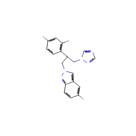 C[C@@H](n1cc2cc(F)ccc2n1)[C@](O)(Cn1cncn1)c1ccc(F)cc1F